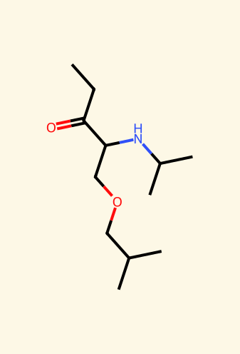 CCC(=O)C(COCC(C)C)NC(C)C